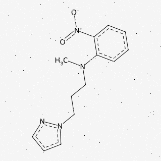 CN(CCCn1cccn1)c1ccccc1[N+](=O)[O-]